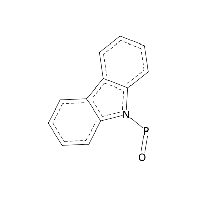 O=Pn1c2ccccc2c2ccccc21